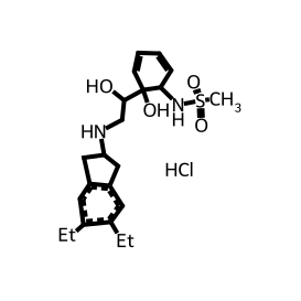 CCc1cc2c(cc1CC)CC(NCC(O)C1(O)C=CC=CC1NS(C)(=O)=O)C2.Cl